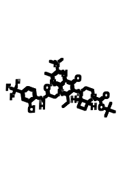 CCc1c(N2CCN(C(=O)OC(C)(C)C)[C@H]3CC[C@@H]32)c(=O)c2nc(N(C)C)c(C)nc2n1CC(=O)Nc1ccc(C(F)(F)F)cc1Cl